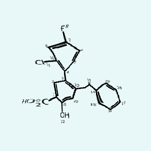 O=C(O)c1cc(-c2ccc(F)cc2Cl)c(Cc2ccccc2)cc1O